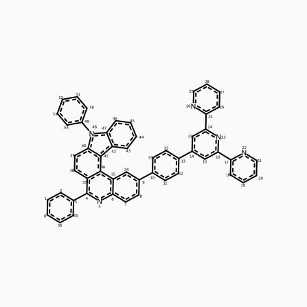 c1ccc(-c2nc3ccc(-c4ccc(-c5cc(-c6ccccn6)nc(-c6ccccn6)c5)cc4)cc3c3c2ccc2c3c3ccccc3n2-c2ccccc2)cc1